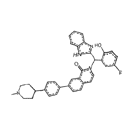 CN1CCC(c2ccc(-c3ccc4ccn(C(c5nc6ccccc6[nH]5)c5cc(F)ccc5O)c(=O)c4c3)cc2)CC1